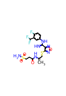 C[C@H](CSc1nonc1C(=N)Nc1ccc(F)c(C(F)F)c1)NC(=O)CCS(N)(=O)=O